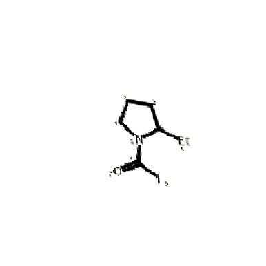 CCC1CCCN1C(=O)I